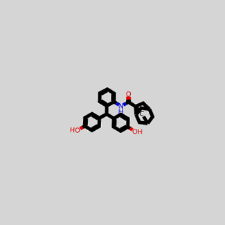 O=C(Nc1ccccc1C(c1ccc(O)cc1)c1ccc(O)cc1)C12CC3CC(CC1C3)C2